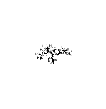 C[C@@H](C(=O)Cl)[C@@H]1[C@H]([C@@H](CO[SiH](C)C)C(C)(C)C)C(=O)N1CC(=O)OC(C)(C)C